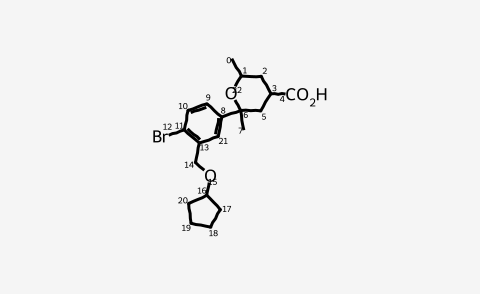 CC1CC(C(=O)O)CC(C)(c2ccc(Br)c(COC3CCCC3)c2)O1